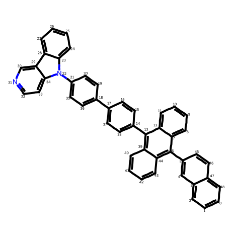 c1ccc2cc(-c3c4ccccc4c(-c4ccc(-c5ccc(-n6c7ccccc7c7cnccc76)cc5)cc4)c4ccccc34)ccc2c1